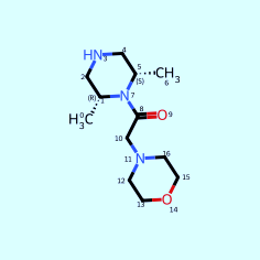 C[C@@H]1CNC[C@H](C)N1C(=O)CN1CCOCC1